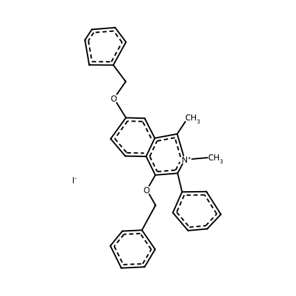 Cc1c2cc(OCc3ccccc3)ccc2c(OCc2ccccc2)c(-c2ccccc2)[n+]1C.[I-]